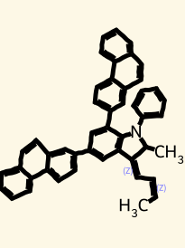 C/C=C\C=C1\c2cc(-c3ccc4c(ccc5ccccc54)c3)cc(-c3ccc4c(ccc5ccccc54)c3)c2N(c2ccccc2)C1C